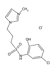 C[n+]1ccn(CCCS(=O)(=O)Nc2cc(Cl)ccc2O)c1.[Cl-]